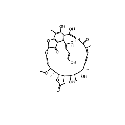 CO[C@H]1/C=C/O[C@@]2(C)Oc3c(C)c(O)c(c(/C(O)=C/C=N/O)c3C2=O)/C(O)=C/NC(=O)/C(C)=C\C=C\[C@H](C)[C@H](O)[C@@H](C)[C@@H](O)[C@@H](C)[C@H](OC(C)=O)[C@@H]1C